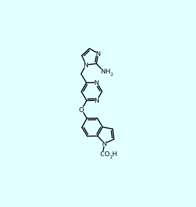 Nc1nccn1Cc1cc(Oc2ccc3c(ccn3C(=O)O)c2)ncn1